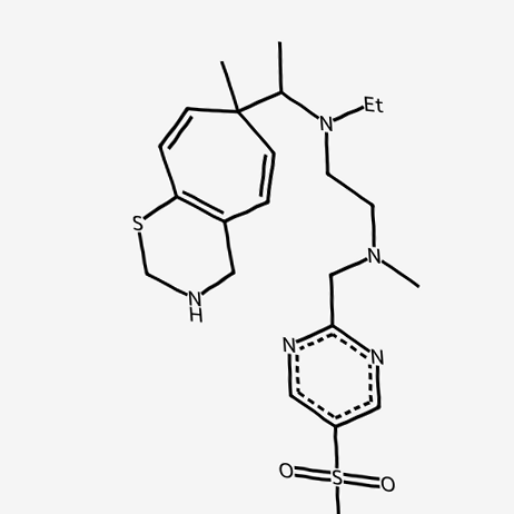 CCN(CCN(C)Cc1ncc(S(C)(=O)=O)cn1)C(C)C1(C)C=CC2=C(C=C1)SCNC2